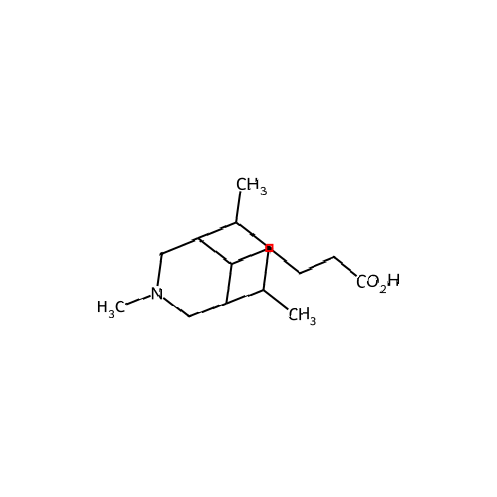 CC1CC(C)C2CN(C)CC1C2CCCC(=O)O